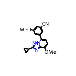 COc1cc(C#N)cc(-c2ccc(OC)c3nc(C4CC4)nn23)c1